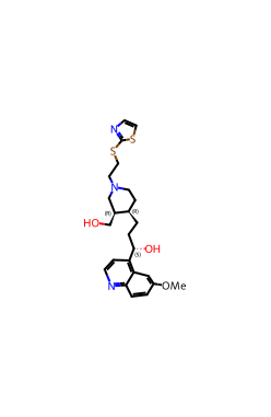 COc1ccc2nccc([C@@H](O)CC[C@@H]3CCN(CCSc4nccs4)C[C@@H]3CO)c2c1